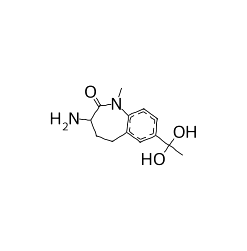 CN1C(=O)C(N)CCc2cc(C(C)(O)O)ccc21